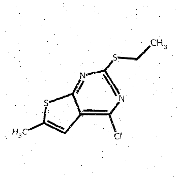 CCSc1nc(Cl)c2cc(C)sc2n1